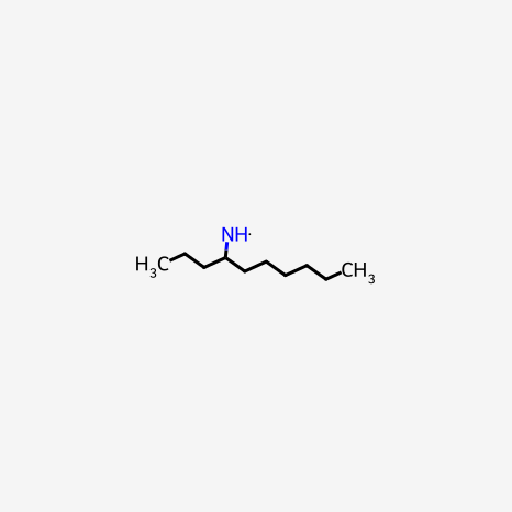 CCCCCCC([NH])CCC